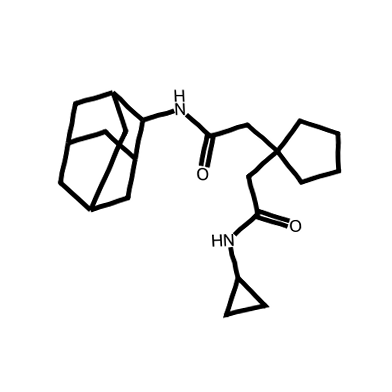 O=C(CC1(CC(=O)NC2C3CC4CC(C3)CC2C4)CCCC1)NC1CC1